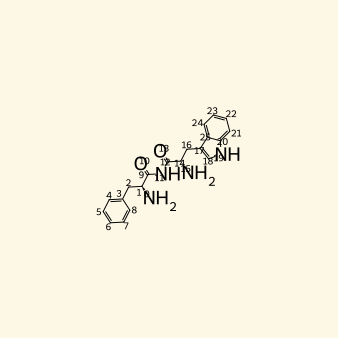 N[C@@H](Cc1ccccc1)C(=O)NC(=O)[C@@H](N)Cc1c[nH]c2ccccc12